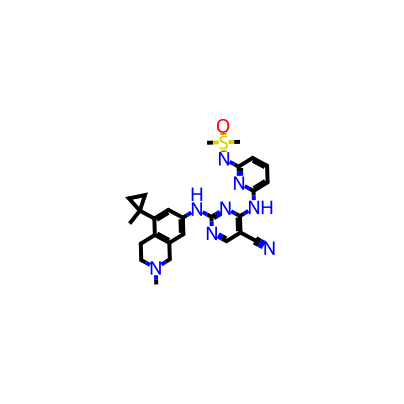 CN1CCc2c(cc(Nc3ncc(C#N)c(Nc4cccc(N=S(C)(C)=O)n4)n3)cc2C2(C)CC2)C1